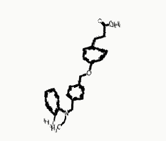 CCN(Cc1ccc(COc2ccc(CCC(=O)O)cc2)cc1)c1ccccc1C